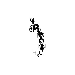 CCc1cnc(N2CCC(c3nc(COc4ccc(SC=O)c(OC)c4)cs3)CC2)nc1